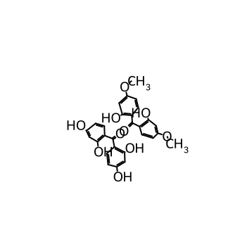 COc1ccc(C(=O)c2ccc(OC)cc2O)c(O)c1.O=C(c1ccc(O)cc1O)c1ccc(O)cc1O